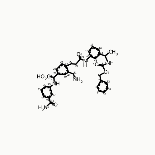 CC(NC(=O)OCc1ccccc1)c1cccc(NC(=O)CCc2ccc(C(Nc3cccc(C(N)=O)c3)C(=O)O)cc2CN)c1